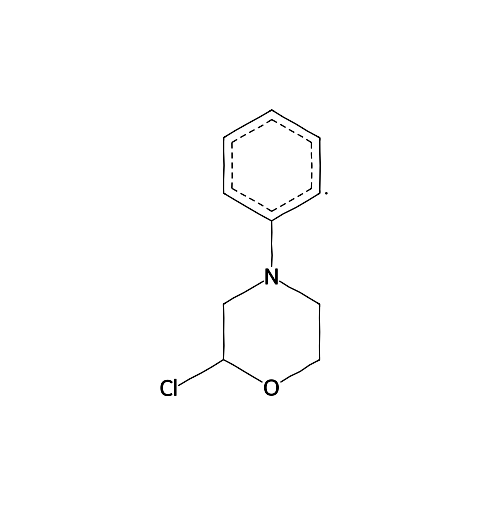 ClC1CN(c2[c]cccc2)CCO1